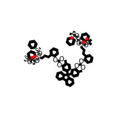 Cc1ccc(C2(c3ccc(C)c(OC(=O)Oc4ccccc4CCC[Si](C)(O[Si](C)(C)C)O[Si](O[Si](C)(C)C)(c4ccccc4)c4ccccc4)c3)c3ccccc3-c3ccccc32)cc1OC(=O)Oc1ccccc1CCC[Si](C)(O[Si](C)(C)O[Si](C)(C)C)O[Si](C)(c1ccccc1)c1ccccc1